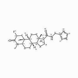 CN1C(=O)C(F)C[C@@]2(C)C1CC[C@@H]1[C@H]2CC[C@]2(C)C(C(=O)NCc3nccs3)CC[C@@H]12